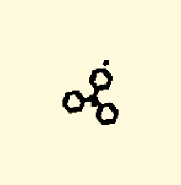 [F].c1cc[c]([SnH]([c]2ccccc2)[c]2ccccc2)cc1